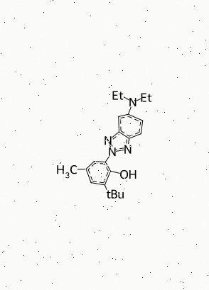 CCN(CC)c1ccc2nn(-c3cc(C)cc(C(C)(C)C)c3O)nc2c1